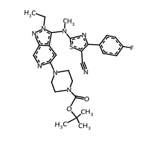 CCn1nc2cnc(N3CCN(C(=O)OC(C)(C)C)CC3)cc2c1N(C)c1nc(-c2ccc(F)cc2)c(C#N)s1